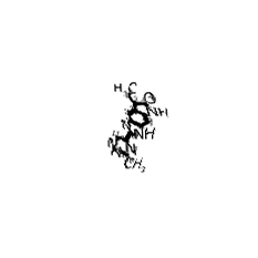 CCC1C(=O)Nc2cc3[nH]c(-c4cnnc(C)n4)nc3cc21